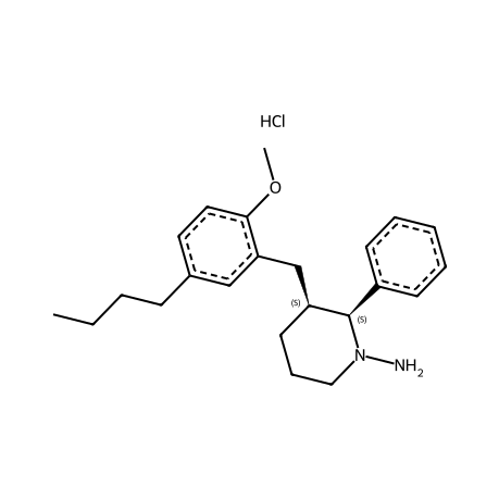 CCCCc1ccc(OC)c(C[C@@H]2CCCN(N)[C@@H]2c2ccccc2)c1.Cl